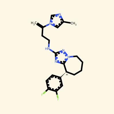 C=C(CCNc1nc2n(n1)CCCC[C@@H]2c1ccc(F)c(F)c1)n1cnc(C)c1